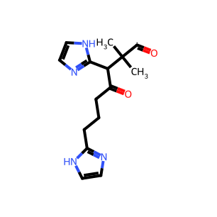 CC(C)([C]=O)C(C(=O)CCCc1ncc[nH]1)c1ncc[nH]1